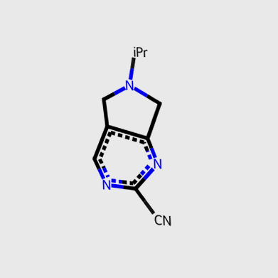 CC(C)N1Cc2cnc(C#N)nc2C1